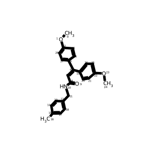 COc1ccc(C(=CC(=O)NCc2ccc(C)cc2)c2ccc(OC)cc2)cc1